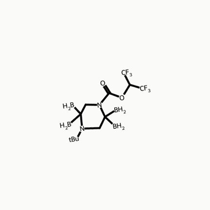 BC1(B)CN(C(C)(C)C)C(B)(B)CN1C(=O)OC(C(F)(F)F)C(F)(F)F